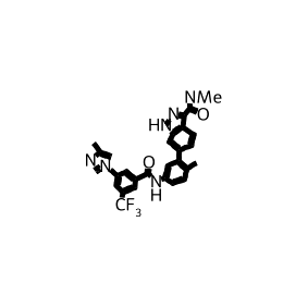 CNC(=O)c1n[nH]c2cc(-c3cc(NC(=O)c4cc(-n5cnc(C)c5)cc(C(F)(F)F)c4)ccc3C)ccc12